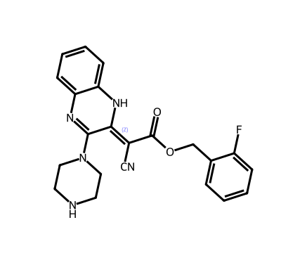 N#C/C(C(=O)OCc1ccccc1F)=C1/Nc2ccccc2N=C1N1CCNCC1